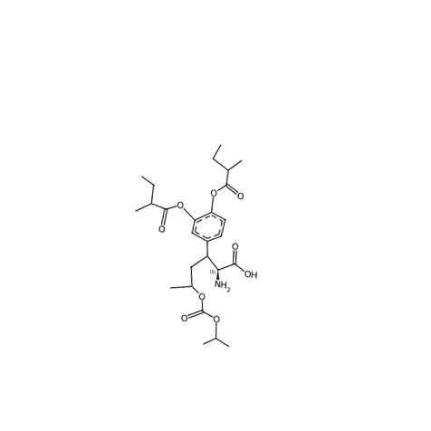 CCC(C)C(=O)Oc1ccc(C(CC(C)OC(=O)OC(C)C)[C@H](N)C(=O)O)cc1OC(=O)C(C)CC